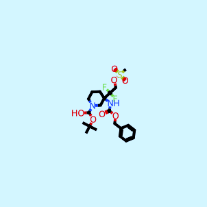 CC(C)(C)OC(O)N1CCCC(NC(=O)OCc2ccccc2)(C(F)(F)COS(C)(=O)=O)C1